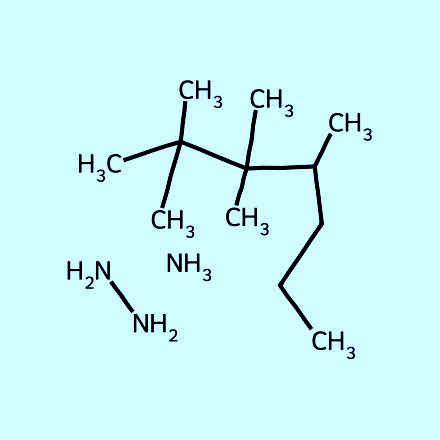 CCCC(C)C(C)(C)C(C)(C)C.N.NN